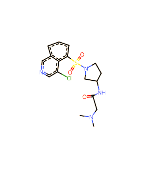 CN(C)CC(=O)NC1CCN(S(=O)(=O)c2cccc3cncc(Cl)c23)C1